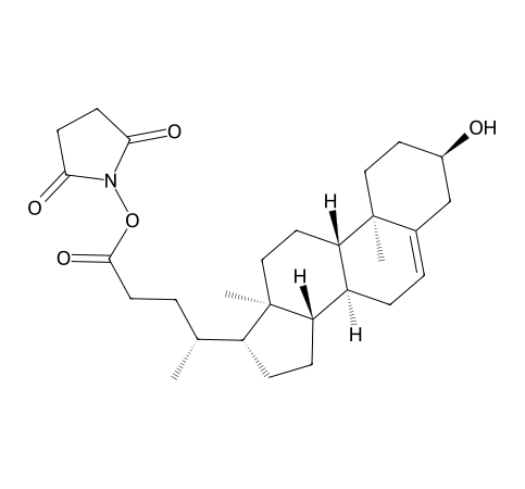 C[C@H](CCC(=O)ON1C(=O)CCC1=O)[C@H]1CC[C@H]2[C@@H]3CC=C4C[C@H](O)CC[C@]4(C)[C@H]3CC[C@]12C